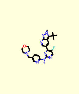 Cn1nc2ncc(-c3nc(Nc4ccc(CN5CCOCC5)cn4)ncc3F)cc2c1C(C)(C)C